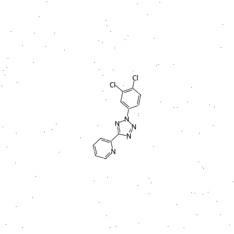 Clc1ccc(-n2nnc(-c3ccccn3)n2)cc1Cl